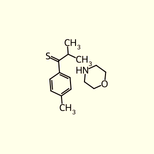 C1COCCN1.Cc1ccc(C(=S)C(C)C)cc1